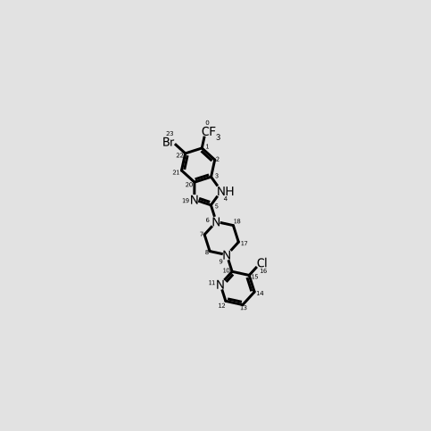 FC(F)(F)c1cc2[nH]c(N3CCN(c4ncccc4Cl)CC3)nc2cc1Br